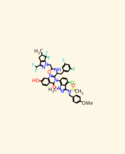 COc1ccc(CN(c2nn(C)c3c(-n4c(C(Cc5cc(F)cc(F)c5)NC(=O)Cn5nc(C(F)F)c6c5C(F)(F)C(C)C6)nc5cc(O)ccc5c4=O)ccc(Cl)c23)[S+](C)[O-])cc1